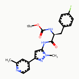 Cc1cc(-c2cc(NC(=O)[C@H](Cc3ccc(F)cc3)NC(=O)OC(C)(C)C)n(C)n2)ccn1